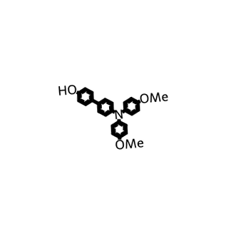 COc1ccc(N(c2ccc(OC)cc2)c2ccc(-c3ccc(O)cc3)cc2)cc1